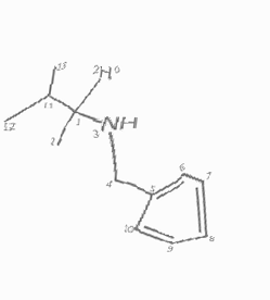 [2H]C(C)(NCc1ccccc1)C(C)C